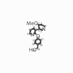 COc1ccncc1-c1cccnc1Oc1ccc(CO)cc1